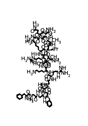 CC(C)C[C@H](NC(=O)[C@H](CCCCN)NC(=O)[C@H](CCCNC(=N)N)N(C(=O)[C@H](CO)NC(=O)[C@H](CCCCN)NC(=O)[C@H](CCCNC(=N)N)NC(=O)CNC(=O)[C@@H](NC(=O)[C@H](Cc1ccccc1)NC(=O)CNC(=O)CNC(=O)[C@@H](N)Cc1ccccc1)[C@@H](C)O)C(=O)C(C)(C)N)C(=O)N[C@@H](C)C(=O)N[C@@H](CC(N)=O)C(=O)N(C(=O)C(C)(C)N)[C@@H](CCC(N)=O)C(N)=O